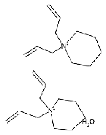 C=CC[N+]1(CC=C)CCCCC1.C=CC[N+]1(CC=C)CCCCC1.O